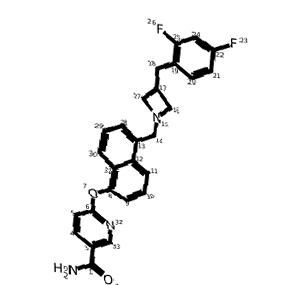 NC(=O)c1ccc(Oc2cccc3c(CN4CC(Cc5ccc(F)cc5F)C4)cccc23)nc1